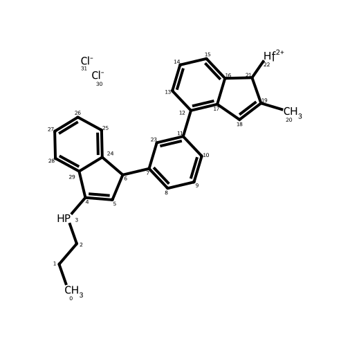 CCCPC1=CC(c2cccc(-c3cccc4c3C=C(C)[CH]4[Hf+2])c2)c2ccccc21.[Cl-].[Cl-]